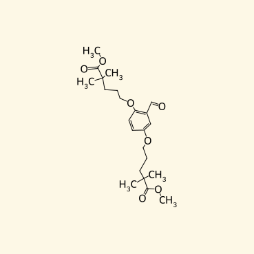 COC(=O)C(C)(C)CCCOc1ccc(OCCCC(C)(C)C(=O)OC)c(C=O)c1